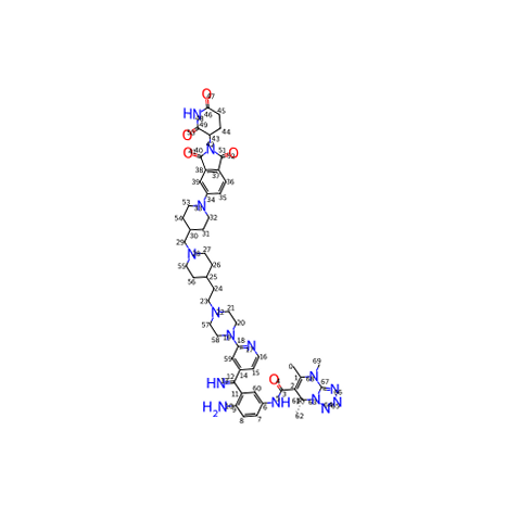 CC1=C(C(=O)Nc2ccc(N)c(C(=N)c3ccnc(N4CCN(CCC5CCN(CC6CCN(c7ccc8c(c7)C(=O)N(C7CCC(=O)NC7=O)C8=O)CC6)CC5)CC4)c3)c2)[C@@H](C)n2nnnc2N1C